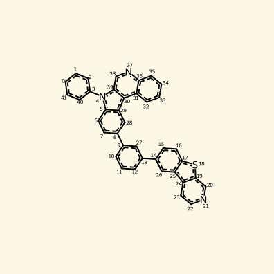 c1ccc(-n2c3ccc(-c4cccc(-c5ccc6sc7cnccc7c6c5)c4)cc3c3c4ccccc4ncc32)cc1